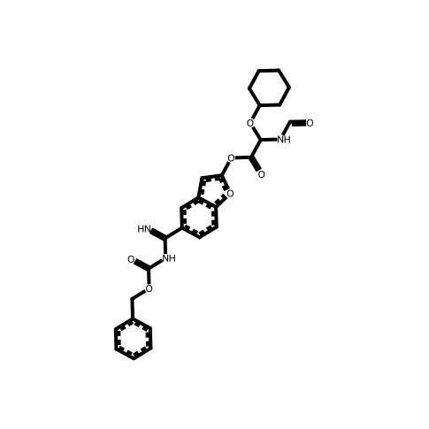 N=C(NC(=O)OCc1ccccc1)c1ccc2oc(OC(=O)C(NC=O)OC3CCCCC3)cc2c1